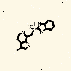 Cc1csc2c(C[S+]([O-])c3nc4ccccc4[nH]3)nccc12